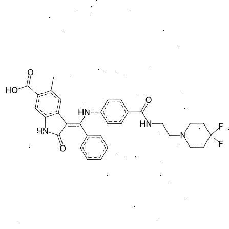 Cc1cc2c(cc1C(=O)O)NC(=O)/C2=C(/Nc1ccc(C(=O)NCCN2CCC(F)(F)CC2)cc1)c1ccccc1